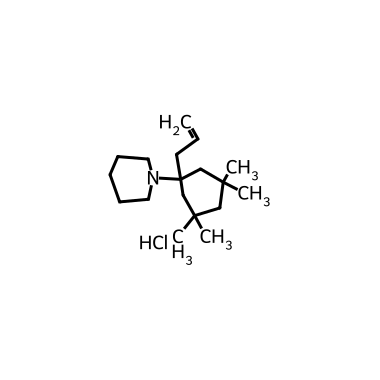 C=CCC1(N2CCCCC2)CC(C)(C)CC(C)(C)C1.Cl